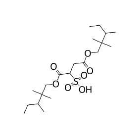 CCC(C)C(C)(C)COC(=O)CC(C(=O)OCC(C)(C)C(C)CC)S(=O)(=O)O